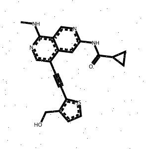 CNc1ncc(C#Cc2sccc2CO)c2cc(NC(=O)C3CC3)ncc12